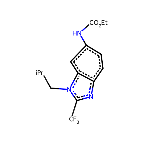 CCOC(=O)Nc1ccc2nc(C(F)(F)F)n(CC(C)C)c2c1